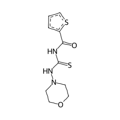 O=C(NC(=S)NN1CCOCC1)c1cccs1